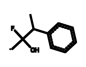 [CH2]C(O)(F)C(C)c1ccccc1